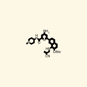 C=C(C#N)CNc1c(OC)ccc2ccc(-c3cc(N)cc(C(=O)NC4CCN(C)CC4)n3)cc12